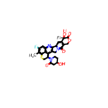 CC[C@@]1(O)C(=O)OCc2c1cc1n(c2=O)Cc2c-1nc1cc(F)c(C)c3c1c2C(N1CCC(O)CC1=O)CS3